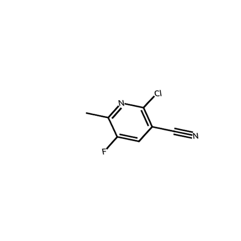 Cc1nc(Cl)c(C#N)cc1F